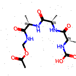 CC(=O)OCNC(=O)[C@H](C)NC(=O)[C@H](C)NC(=O)[C@H](C)NC(=O)O